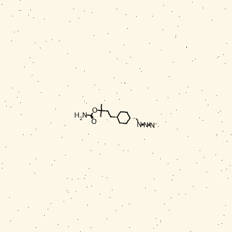 CC(C)(CC[C@H]1CC[C@H](CN=[N+]=[N-])CC1)OC(N)=O